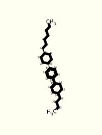 CCCCCCC[C@H]1CC[C@H](c2ccc(C3=CCC(CCCC)CC3)cc2)CC1